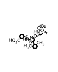 Cc1cccc(C)c1-c1cc(OC[C@@H](CC(C)C)NC(=O)OC(C)(C)C)nc(NSc2cccc(C(=O)O)c2)n1